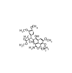 COC(=O)C(C)(C)C(c1ccc(OC)c(OC)c1)c1cc(C(N)=O)c2c(OC)c(OC)c(OC)cc2c1O